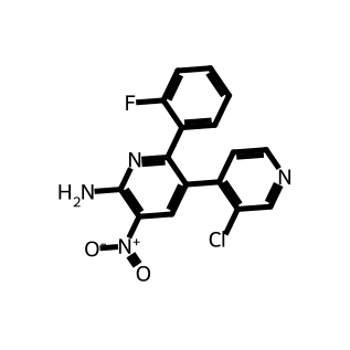 Nc1nc(-c2ccccc2F)c(-c2ccncc2Cl)cc1[N+](=O)[O-]